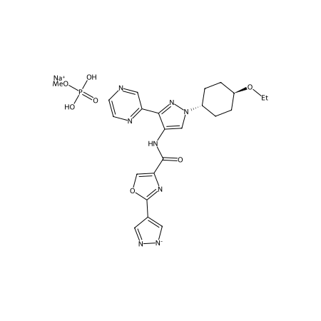 CCO[C@H]1CC[C@H](n2cc(NC(=O)c3coc(-c4cn[n-]c4)n3)c(-c3cnccn3)n2)CC1.COP(=O)(O)O.[Na+]